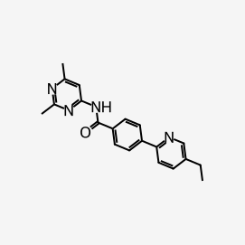 CCc1ccc(-c2ccc(C(=O)Nc3cc(C)nc(C)n3)cc2)nc1